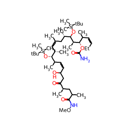 CC/C=C\C(C)[C@H](OC(N)=O)[C@@H](C)[C@H](O[Si](C)(C)C(C)(C)C)[C@@H](C)C/C(C)=C\[C@H](C)[C@@H](O[Si](C)(C)C(C)(C)C)C(C)/C=C\C(O)CC(=O)[C@H](C)CC(C)C(=O)NOC